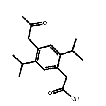 CC(=O)Cc1cc(C(C)C)c(CC(=O)O)cc1C(C)C